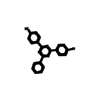 N#Cc1ccc(-c2nc(-c3ccccc3)nc(-c3ccc(Br)cc3)n2)cc1